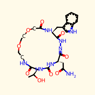 CC(O)[C@@H]1NC(=O)N[C@@H](CC(N)=O)C(=O)NNC(=O)[C@H](Cc2c[nH]c3ccccc23)NC(=O)COCCOCCNC1=O